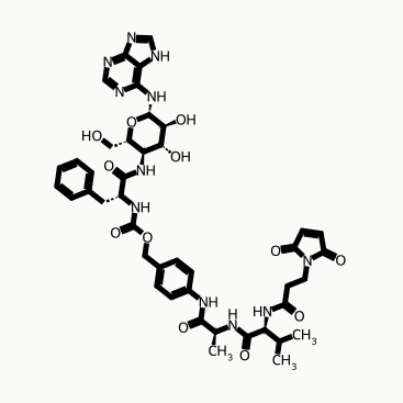 CC(C)[C@H](NC(=O)CCN1C(=O)C=CC1=O)C(=O)N[C@@H](C)C(=O)Nc1ccc(COC(=O)N[C@H](Cc2ccccc2)C(=O)N[C@@H]2[C@@H](O)[C@H](O)[C@@H](Nc3ncnc4nc[nH]c34)O[C@H]2CO)cc1